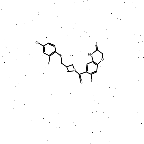 O=C1COc2cc(F)c(C(=O)N3CC(COc4ccc(Cl)cc4F)C3)cc2N1